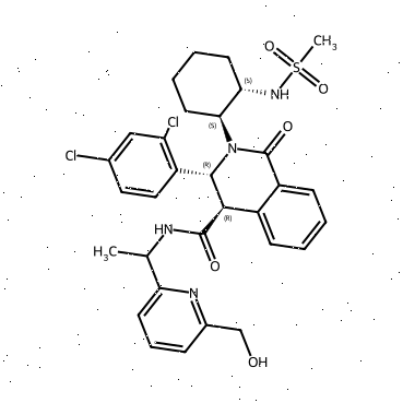 CC(NC(=O)[C@@H]1c2ccccc2C(=O)N([C@H]2CCCC[C@@H]2NS(C)(=O)=O)[C@H]1c1ccc(Cl)cc1Cl)c1cccc(CO)n1